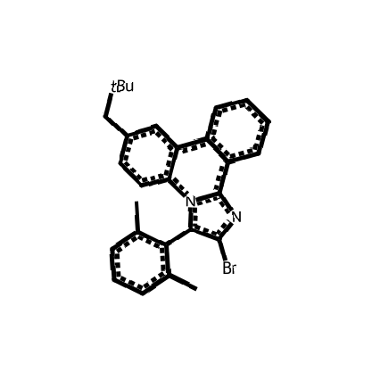 Cc1cccc(C)c1-c1c(Br)nc2c3ccccc3c3cc(CC(C)(C)C)ccc3n12